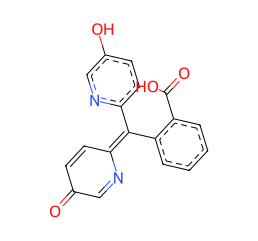 O=C1C=C/C(=C(\c2ccc(O)cn2)c2ccccc2C(=O)O)N=C1